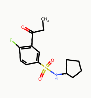 CCC(=O)c1cc(S(=O)(=O)NC2CCCC2)ccc1F